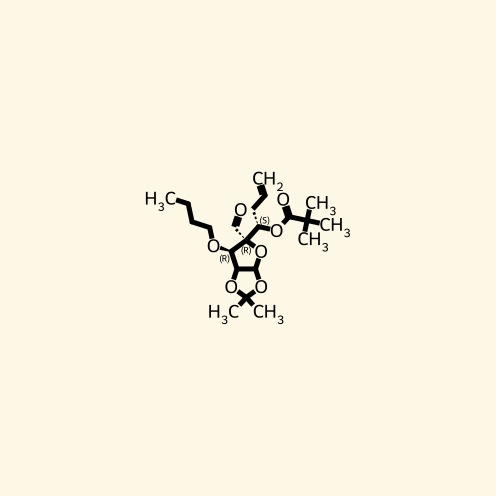 C=CC[C@H](OC(=O)C(C)(C)C)[C@@]1(C=O)OC2OC(C)(C)OC2[C@H]1OCCCC